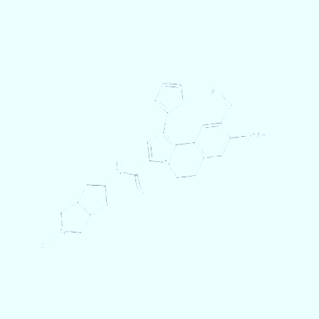 COc1cc2c(cc1OC(C)C)-c1c(-c3cccs3)cc(C(=O)NC3CC4CN(C(C)=O)CC4C3)n1CC2